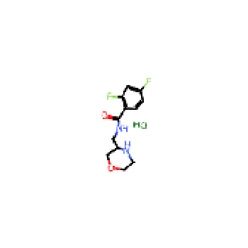 Cl.O=C(NCC1COCCN1)c1ccc(F)cc1F